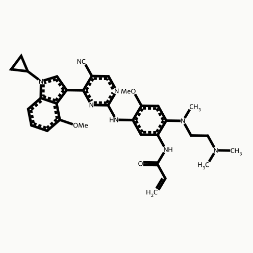 C=CC(=O)Nc1cc(Nc2ncc(C#N)c(-c3cn(C4CC4)c4cccc(OC)c34)n2)c(OC)cc1N(C)CCN(C)C